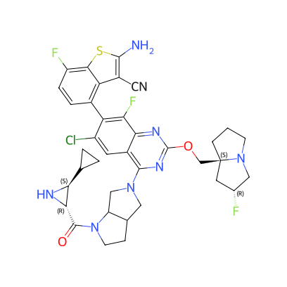 N#Cc1c(N)sc2c(F)ccc(-c3c(Cl)cc4c(N5CC6CCN(C(=O)[C@@H]7N[C@H]7C7CC7)C6C5)nc(OC[C@@]56CCCN5C[C@H](F)C6)nc4c3F)c12